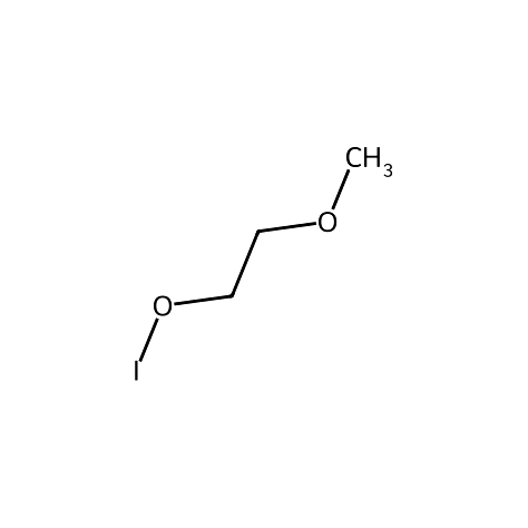 COCCOI